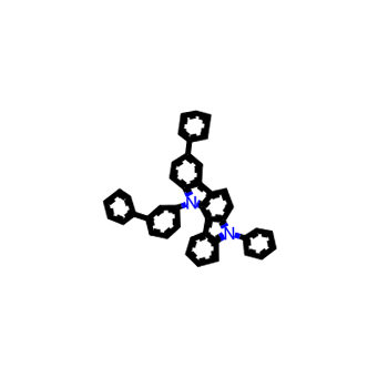 c1ccc(-c2cccc(-n3c4ccc(-c5ccccc5)cc4c4ccc5c(c6ccccc6n5-c5ccccc5)c43)c2)cc1